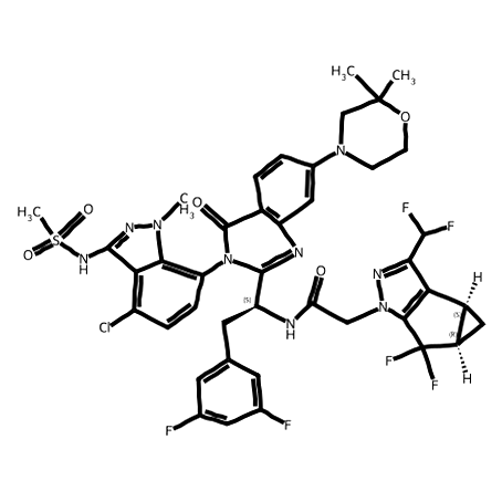 Cn1nc(NS(C)(=O)=O)c2c(Cl)ccc(-n3c([C@H](Cc4cc(F)cc(F)c4)NC(=O)Cn4nc(C(F)F)c5c4C(F)(F)[C@@H]4C[C@H]54)nc4cc(N5CCOC(C)(C)C5)ccc4c3=O)c21